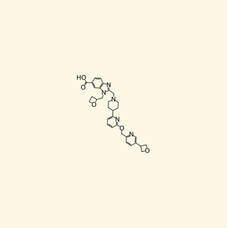 O=C(O)c1ccc2nc(CN3CCC(c4cccc(OCc5ccc(C6COC6)cn5)n4)CC3)n(CC3CCO3)c2c1